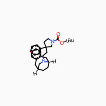 CC(C)(C)OC(=O)N1CCC(CCN2C[C@@H]3CC[C@H]2Cc2ccccc2C3)(c2ccccc2)C1